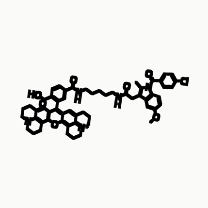 COc1ccc2c(c1)c(CC(=O)NCCCCCNC(=O)c1ccc(C(=O)O)c(C3=c4cc5c6c(c4Oc4c3cc3c7c4CCCN7CCC3)CCC[N+]=6CCC5)c1)c(C)n2C(=O)c1ccc(Cl)cc1